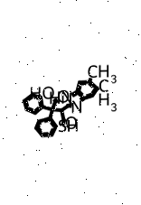 Cc1cc2nc(C(C(=O)S)C(C(=O)O)(c3ccccc3)c3ccccc3)[nH]c2cc1C